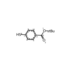 CC(C)(C)OC(=O)c1ccc(S)cc1